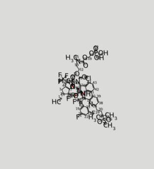 C#C[C@@H]1Cc2c(C(F)(F)F)nn(CC(=O)N[C@@H](Cc3cc(F)cc(F)c3)c3nc(CCC(C)(C)S(C)(=O)=O)ccc3-c3ccc(Cl)c4c(N(C(=O)OCCN(C)C(=O)OCOP(=O)(O)O)S(C)(=O)=O)nn(CC(F)(F)F)c34)c2C1(F)F